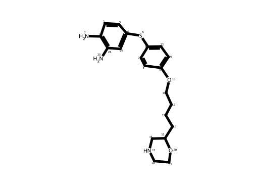 Nc1ccc(Sc2ccc(OCCCCC3CNCCO3)cc2)cc1N